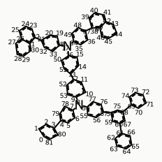 c1ccc(-c2ccc(N(c3ccc(-c4ccc(N(c5ccc(-c6cccc7ccccc67)cc5)c5ccc(-c6cccc7ccccc67)cc5)cc4)cc3)c3ccc(-c4cc(-c5ccccc5)cc(-c5ccccc5)c4)cc3)cc2)cc1